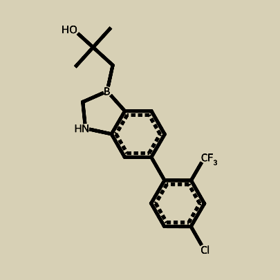 CC(C)(O)CB1CNc2cc(-c3ccc(Cl)cc3C(F)(F)F)ccc21